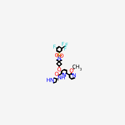 CCOc1ncccc1-c1ccc(OC2CC3(C2)CN(S(=O)(=O)c2cc(F)cc(C(F)(F)F)c2)C3)c(C(=O)N[C@@H]2CCNC2)n1